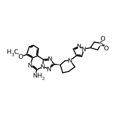 COc1cccc2c1nc(N)n1nc([C@@H]3CCCN(c4cnn(C5CS(=O)(=O)C5)c4)C3)nc21